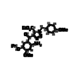 CCOC(=O)c1c(C(=O)c2cc(OC(C)C)c(OC)cc2N)nnn1Cc1ccc(OC)cc1